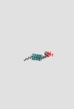 C=CCCCCC(F)(F)C(F)(F)C(F)(F)C(F)(F)C(F)(F)C(F)(F)CCCC(CO)CO